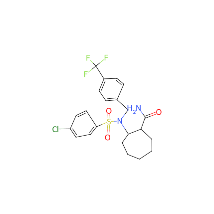 NC(=O)C1CCCCCC1N(Cc1ccc(C(F)(F)F)cc1)S(=O)(=O)c1ccc(Cl)cc1